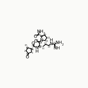 C[C@H]1CC(=O)C[C@H]1C(=O)N[C@@H](CCCNC(=N)N)C(=O)N1CCC[C@H]1C(N)=O